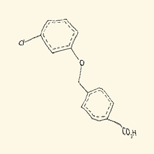 O=C(O)c1ccc(COc2cccc(Cl)c2)cc1